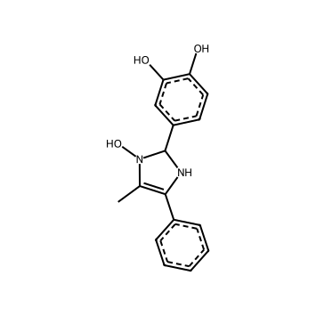 CC1=C(c2ccccc2)NC(c2ccc(O)c(O)c2)N1O